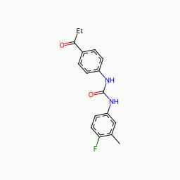 CCC(=O)c1ccc(NC(=O)Nc2ccc(F)c(C)c2)cc1